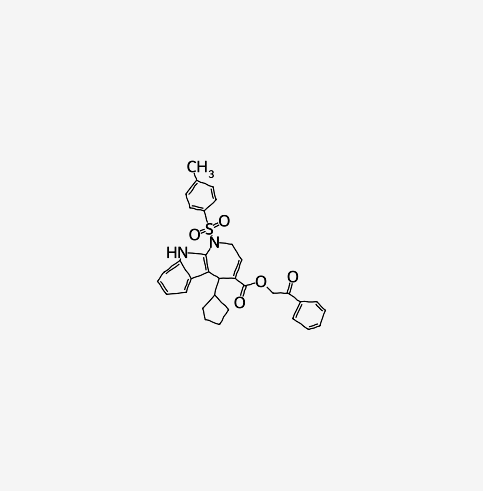 Cc1ccc(S(=O)(=O)N2CC=C(C(=O)OCC(=O)c3ccccc3)C(C3CCCC3)c3c2[nH]c2ccccc32)cc1